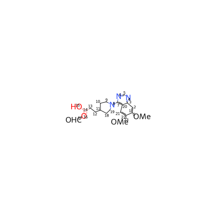 COc1cc2ncnc(N3CCC(CCB(O)OC=O)CC3)c2cc1OC